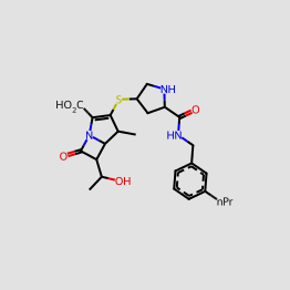 CCCc1cccc(CNC(=O)C2CC(SC3=C(C(=O)O)N4C(=O)C(C(C)O)C4C3C)CN2)c1